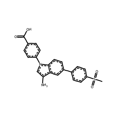 CS(=O)(=O)c1ccc(-c2ccc3c(c2)c(N)cn3-c2ccc(C(=O)O)cc2)cc1